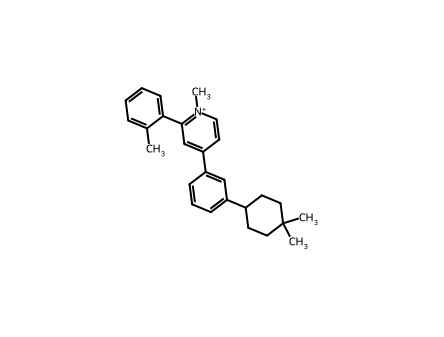 Cc1ccccc1-c1cc(-c2cccc(C3CCC(C)(C)CC3)c2)cc[n+]1C